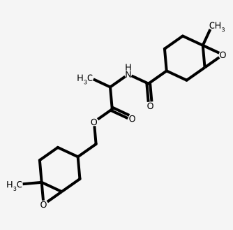 CC(NC(=O)C1CCC2(C)OC2C1)C(=O)OCC1CCC2(C)OC2C1